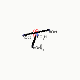 CCCCCCCC/C=C\CCCCCCCC(=O)C(C(=O)CCCCCCC/C=C\CCCCCCCC)N(CC(=O)O)C(=O)CCCCCCC/C=C\CCCCCCCC.[BiH3]